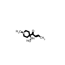 C/C=C/C(=O)C1(NO)CCN(C)CC1